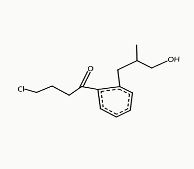 CC(CO)Cc1ccccc1C(=O)CCCCl